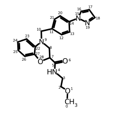 COCCNC(=O)C1CN(Cc2ccc(-n3cccn3)cc2)c2ccccc2O1